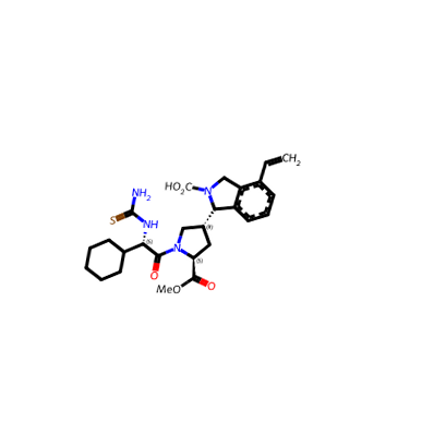 C=Cc1cccc2c1CN(C(=O)O)C2[C@@H]1C[C@@H](C(=O)OC)N(C(=O)[C@@H](NC(N)=S)C2CCCCC2)C1